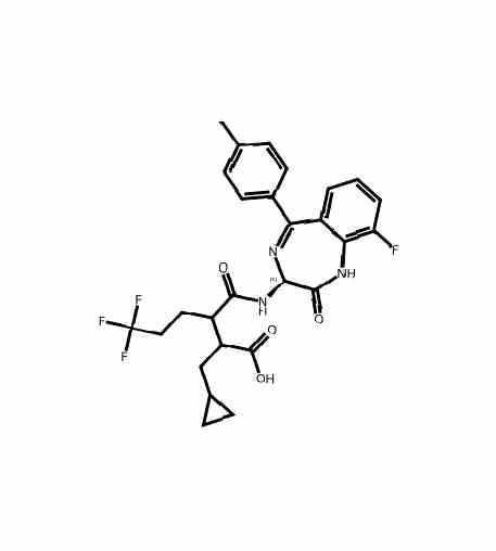 Cc1ccc(C2=N[C@H](NC(=O)C(CCC(F)(F)F)C(CC3CC3)C(=O)O)C(=O)Nc3c(F)cccc32)cc1